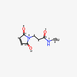 CC(C)(C)NC(=O)CCN1C(=O)C=CC1=O